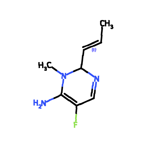 C/C=C/C1N=CC(F)=C(N)N1C